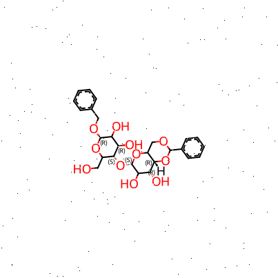 OCC1O[C@@H](OCc2ccccc2)C(O)[C@@H](O)[C@@H]1O[C@@H]1OC2COC(c3ccccc3)O[C@@H]2[C@H](O)C1O